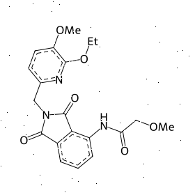 CCOc1nc(CN2C(=O)c3cccc(NC(=O)COC)c3C2=O)ccc1OC